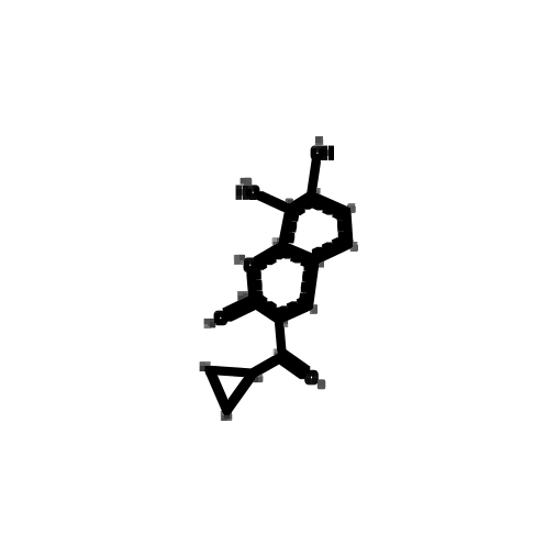 O=C(c1cc2ccc(O)c(O)c2oc1=O)C1CC1